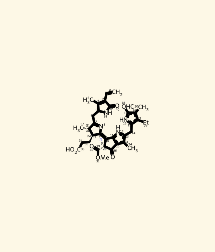 C=CC1=C(C)C(CC2=N/C(=C3\c4[nH]c(Cc5[nH]c(C=O)c(C)c5CC)c(C)c4C(=O)[C@@H]3C(=O)OC)[C@@H](CCC(=O)O)[C@@H]2C)NC1=O